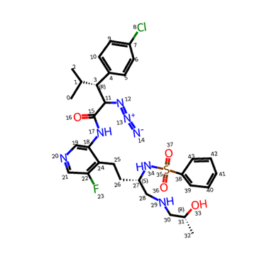 CC(C)[C@H](c1ccc(Cl)cc1)C(N=[N+]=[N-])C(=O)Nc1cncc(F)c1CC[C@@H](CNC[C@@H](C)O)NS(=O)(=O)c1ccccc1